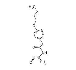 CCCCOc1ccc(CC(=O)N[C@@H](C)[C]=O)cc1